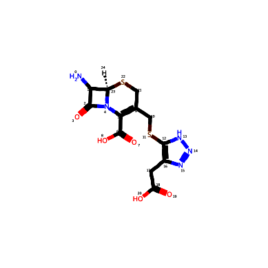 NC1C(=O)N2C(C(=O)O)=C(CSc3[nH]nnc3CC(=O)O)CS[C@H]12